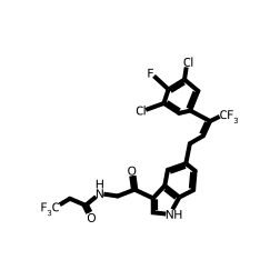 O=C(CC(F)(F)F)NCC(=O)c1c[nH]c2ccc(CC=C(c3cc(Cl)c(F)c(Cl)c3)C(F)(F)F)cc12